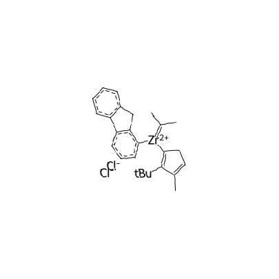 CC1=CC[C]([Zr+2](=[C](C)C)[c]2cccc3c2Cc2ccccc2-3)=C1C(C)(C)C.[Cl-].[Cl-]